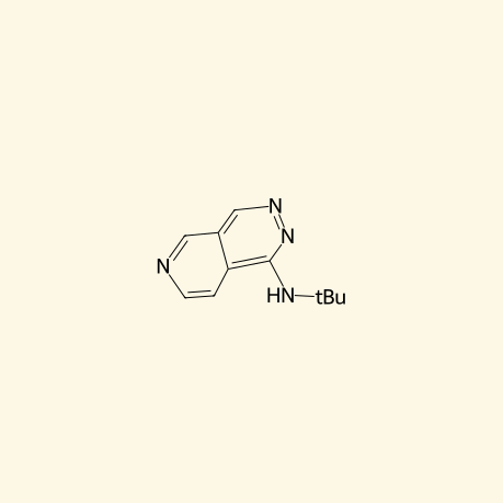 CC(C)(C)Nc1nncc2cnccc12